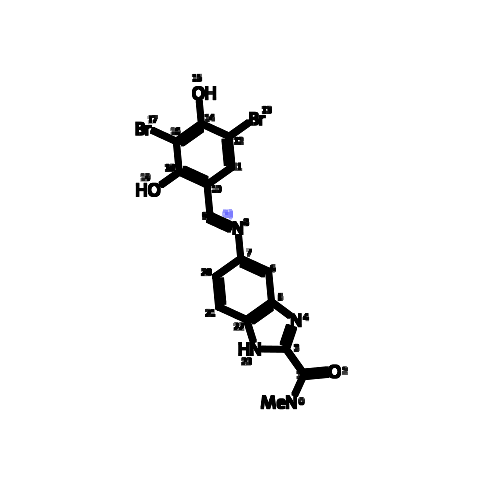 CNC(=O)c1nc2cc(/N=C/c3cc(Br)c(O)c(Br)c3O)ccc2[nH]1